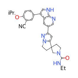 CCNC(=O)N1CCC2(CCn3nc(-c4cnc5[nH]cc(-c6ccc(OC(C)C)c(C#N)c6)c5c4)cc32)C1